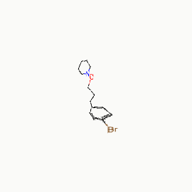 Brc1ccc(CCCON2CCCCC2)cc1